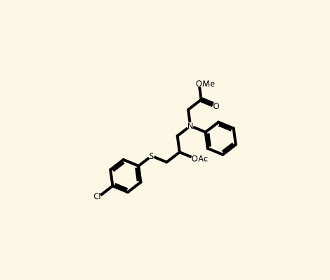 COC(=O)CN(CC(CSc1ccc(Cl)cc1)OC(C)=O)c1ccccc1